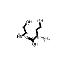 N[C@@H](CCS)C(=O)O.OCCS